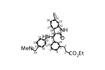 CCOC(=O)CCc1cccc(C(Nc2ccc(CNC)cc2)=C2C(=O)Nc3cc(F)ccc32)c1